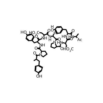 CC(=O)C(C)NC(=O)C(Cc1ccc(O)cc1)NC(=O)C(CC(=O)O)NC(=O)C1CCCN1C(=O)C(NC(=O)C(CC(=O)O)NC(=O)C(Cc1ccc(O)cc1)NC(=O)C1CCCN1C(=O)C(C)Cc1ccc(O)cc1)C(C)C